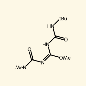 CNC(=O)N=C(NC(=O)NC(C)(C)C)OC